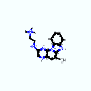 C[N+](C)(C)CCNc1cnc2cc(C#N)c3nc4ccccc4n3c2n1